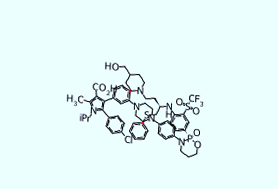 Cc1c(C(=O)O)c(-c2cccc(N3CCN(c4ccc(N5CCCO[P@@]5(=O)c5ccc(N[C@H](CCN6CCC(CO)CC6)CSc6ccccc6)c(S(=O)(=O)C(F)(F)F)c5)cc4)CC3)c2)c(-c2ccc(Cl)cc2)n1C(C)C